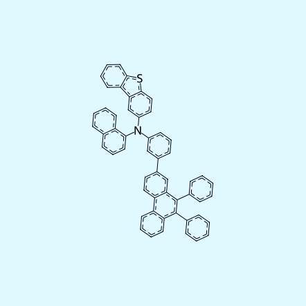 c1ccc(-c2c(-c3ccccc3)c3cc(-c4cccc(N(c5ccc6sc7ccccc7c6c5)c5cccc6ccccc56)c4)ccc3c3ccccc23)cc1